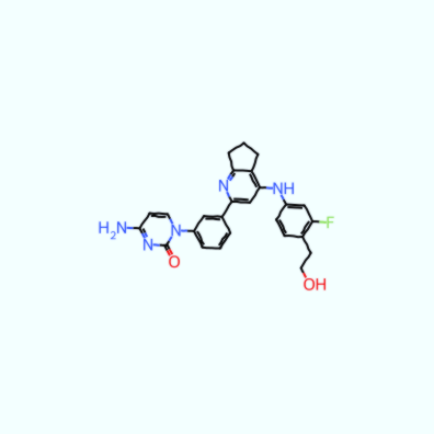 Nc1ccn(-c2cccc(-c3cc(Nc4ccc(CCO)c(F)c4)c4c(n3)CCC4)c2)c(=O)n1